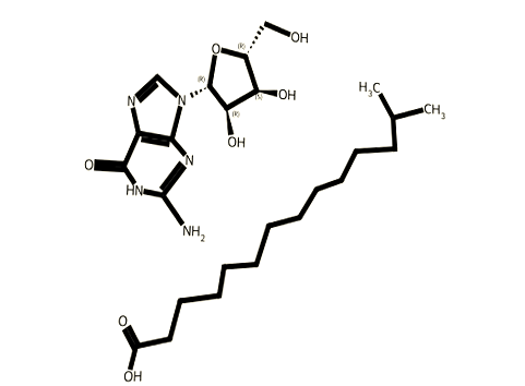 CC(C)CCCCCCCCCCCC(=O)O.Nc1nc2c(ncn2[C@@H]2O[C@H](CO)[C@@H](O)[C@H]2O)c(=O)[nH]1